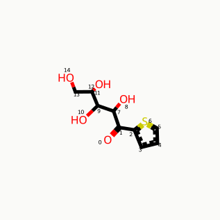 O=C(c1cccs1)C(O)C(O)C(O)CO